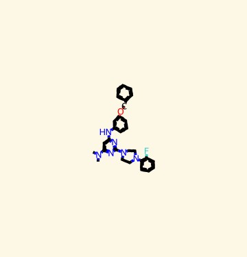 CN(C)c1cc(Nc2cccc(OCc3ccccc3)c2)nc(N2CCN(c3ccccc3F)CC2)n1